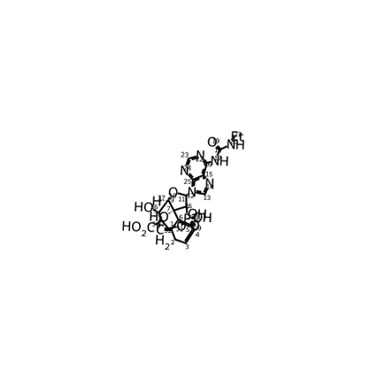 C=C1CC=CC=C1[C@@]1(O)[C@@H]2O[C@@H](n3cnc4c(NC(=O)NCC)ncnc43)[C@@]1(O)[P@](=O)(O)OCC(C(=O)O)[C@H]2O